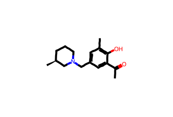 CC(=O)c1cc(CN2CCC[C@H](C)C2)cc(C)c1O